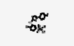 CCN(CC)S(=O)(=O)c1ccc(Cl)c(Nc2ncc(-c3ccc(F)cc3)o2)c1